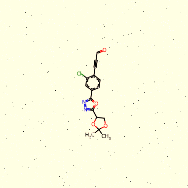 CC1(C)OCC(c2nnc(-c3ccc(C#CC=O)c(Cl)c3)o2)O1